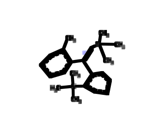 Cc1ccccc1/C(=C/[Si](C)(C)C)c1ccccc1[Si](C)(C)C